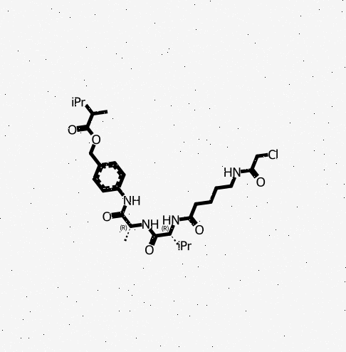 CC(C)C(C)C(=O)OCc1ccc(NC(=O)[C@@H](C)NC(=O)[C@H](NC(=O)CCCCNC(=O)CCl)C(C)C)cc1